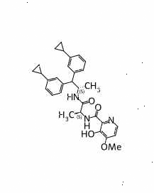 COc1ccnc(C(=O)N[C@@H](C)C(=O)N[C@@H](C)C(c2cccc(C3CC3)c2)c2cccc(C3CC3)c2)c1O